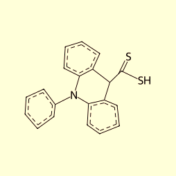 S=C(S)C1c2ccccc2N(c2ccccc2)c2ccccc21